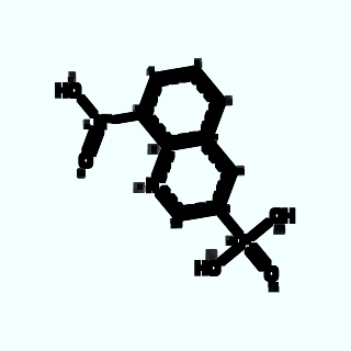 O=[N+](O)c1cccc2cc(P(=O)(O)O)cnc12